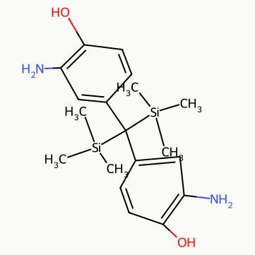 C[Si](C)(C)C(c1ccc(O)c(N)c1)(c1ccc(O)c(N)c1)[Si](C)(C)C